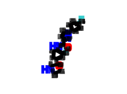 O=C(Nc1ccc([C@H]2CNCCO2)cc1F)c1ccn(-c2ccc(F)cc2)n1